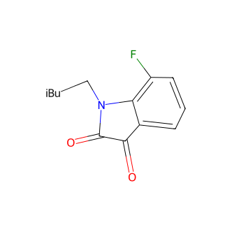 CCC(C)CN1C(=O)C(=O)c2cccc(F)c21